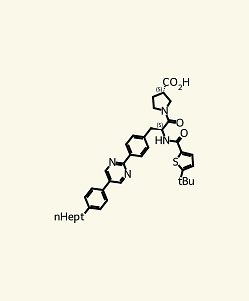 CCCCCCCc1ccc(-c2cnc(-c3ccc(C[C@H](NC(=O)c4ccc(C(C)(C)C)s4)C(=O)N4CC[C@H](C(=O)O)C4)cc3)nc2)cc1